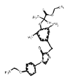 CCOC(=O)C(C)(C)Oc1c(C)cc(Cn2ncn(-c3ccc(OCC)cc3)c2=O)cc1C